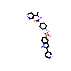 CC(NC(=O)[C@H]1CC[C@H](NS(=O)(=O)c2ccc3[nH]c(-c4cccnc4)cc3c2)CC1)c1ccncc1